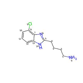 NCCCCc1nc2c(Cl)cccc2[nH]1